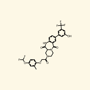 Cc1cc(OC(F)F)ccc1OCC(=O)N1CCN2C(=O)c3cc(-c4cc(O)cc(C(F)(F)F)c4)ccc3NC(=O)C2C1